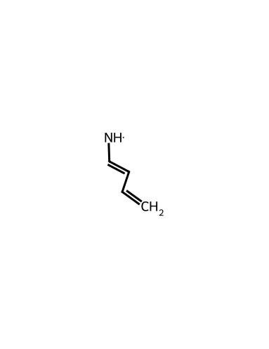 C=CC=C[NH]